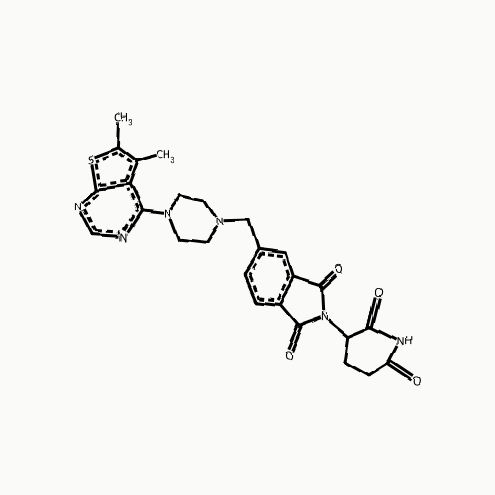 Cc1sc2ncnc(N3CCN(Cc4ccc5c(c4)C(=O)N(C4CCC(=O)NC4=O)C5=O)CC3)c2c1C